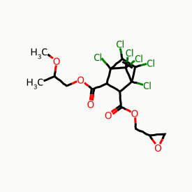 COC(C)COC(=O)C1C(C(=O)OCC2CO2)C2(Cl)C(Cl)=C(Cl)C1(Cl)C2(Cl)Cl